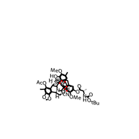 COc1cc2c(cc1OC(=O)[C@H](C)NC(=O)OC(C)(C)C)CCN[C@]21CS[C@@H]2c3c(OC(C)=O)c(C)c4c(c3[C@H](COC1=O)N1C2[C@@H]2c3c(cc(C)c(OC)c3O)C[C@H]([C@@H]1C#N)N2C)OCO4